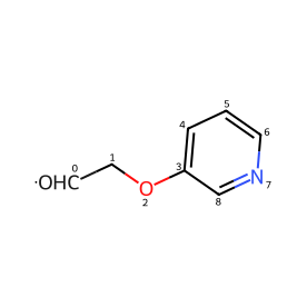 O=[C]COc1cccnc1